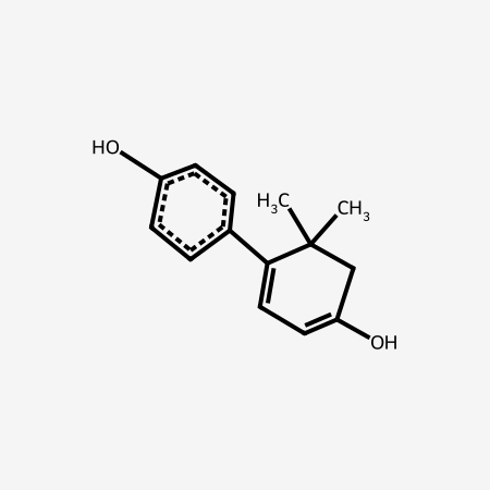 CC1(C)CC(O)=CC=C1c1ccc(O)cc1